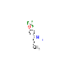 CCCC[C@H](N)c1ccc(OC(F)(F)F)cc1